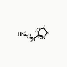 N=C=NC1=NCCO1